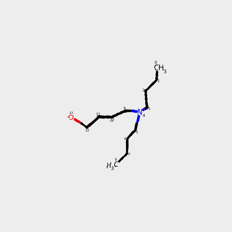 CCCCN(CCCC)CCCC[O]